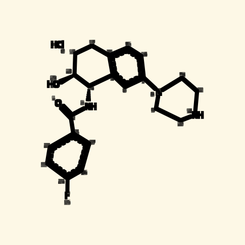 Cl.O=C(N[C@H]1c2cc(N3CCNCC3)ccc2CC[C@@H]1O)c1ccc(F)cc1